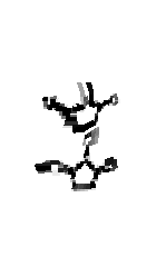 O=C1C=CC(=O)N1.O=C1CCC(=O)N1O